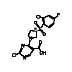 O=C(O)c1cnc(Cl)nc1N1CC[C@H](S(=O)(=O)c2ccc(F)cc2Cl)C1